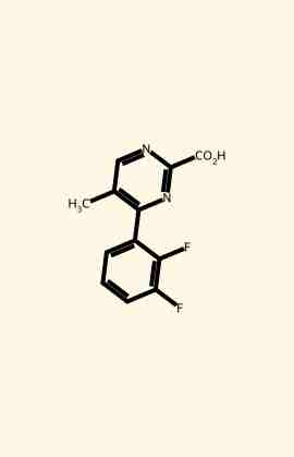 Cc1cnc(C(=O)O)nc1-c1cccc(F)c1F